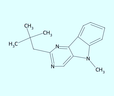 Cn1c2ccccc2c2nc(CC(C)(C)C)ncc21